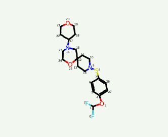 FC(F)Oc1ccc(SN2CCC3(CC2)CN(C2CCOCC2)CCO3)cc1